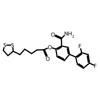 NC(=O)c1cc(-c2ccc(F)cc2F)ccc1OC(=O)CCCCC1CCSS1